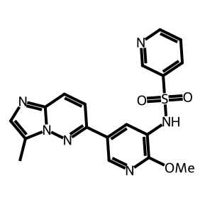 COc1ncc(-c2ccc3ncc(C)n3n2)cc1NS(=O)(=O)c1cccnc1